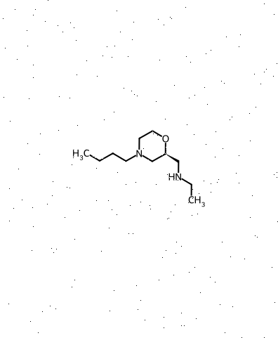 CCCCN1CCO[C@@H](CNCC)C1